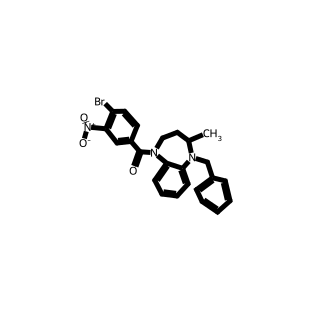 CC1CCN(C(=O)c2ccc(Br)c([N+](=O)[O-])c2)c2ccccc2N1Cc1ccccc1